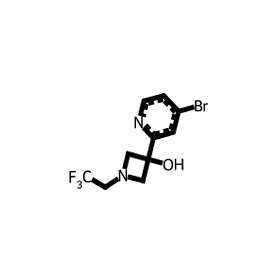 OC1(c2cc(Br)ccn2)CN(CC(F)(F)F)C1